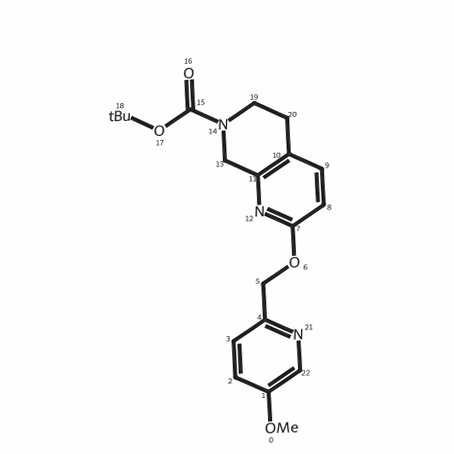 COc1ccc(COc2ccc3c(n2)CN(C(=O)OC(C)(C)C)CC3)nc1